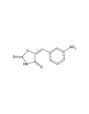 O=C1NC(=O)/C(=C\c2cccc([N+](=O)[O-])c2)S1